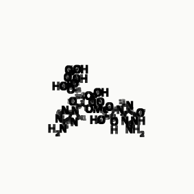 CO[C@@H]1[C@H](OP(=O)(O)OC[C@H]2O[C@@H](n3cnc4c(=O)[nH]c(N)nc43)[C@H](O)[C@@H]2O)[C@@H](COP(=O)(O)OP(=O)(O)O)O[C@H]1n1cnc2c(N)ncnc21